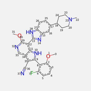 COc1cccc(F)c1-c1[nH]c2c(-c3nc4cc(C5CCN(C)CC5)ccc4[nH]3)c(OC)ncc2c1C#N